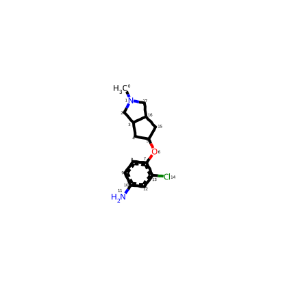 CN1CC2CC(Oc3ccc(N)cc3Cl)CC2C1